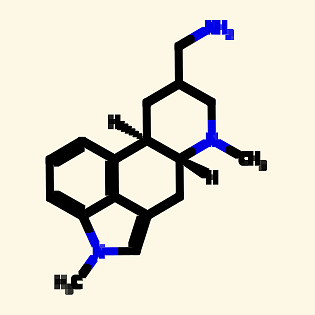 CN1CC(CN)C[C@@H]2c3cccc4c3c(cn4C)C[C@H]21